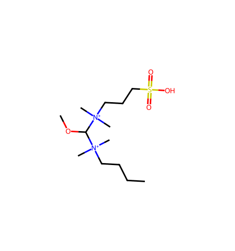 CCCC[N+](C)(C)C(OC)[N+](C)(C)CCCS(=O)(=O)O